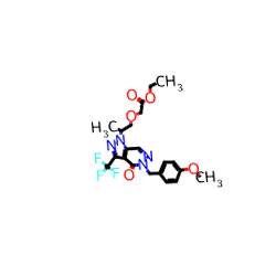 CCOC(=O)COCC(C)n1nc(C(F)(F)F)c2c(=O)n(Cc3ccc(OC)cc3)ncc21